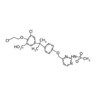 CC(C)(c1ccc(OCc2ccnc(NS(C)(=O)=O)n2)cc1)c1cc(Cl)c(OCCCl)c(C(=O)O)c1